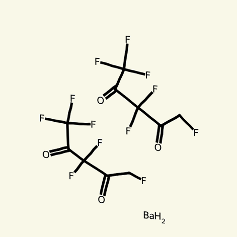 O=C(CF)C(F)(F)C(=O)C(F)(F)F.O=C(CF)C(F)(F)C(=O)C(F)(F)F.[BaH2]